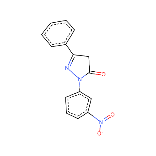 O=C1CC(c2ccccc2)=NN1c1cccc([N+](=O)[O-])c1